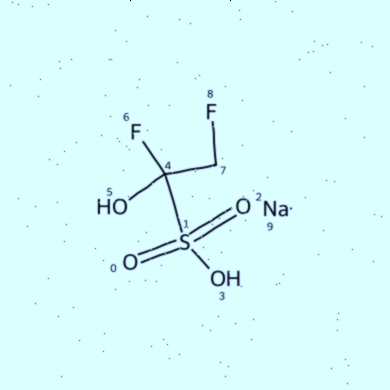 O=S(=O)(O)C(O)(F)CF.[Na]